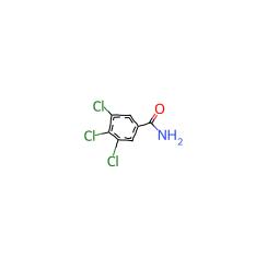 NC(=O)c1cc(Cl)c(Cl)c(Cl)c1